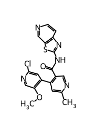 COc1cnc(Cl)cc1-c1cc(C)ncc1C(=O)Nc1nc2ccncc2s1